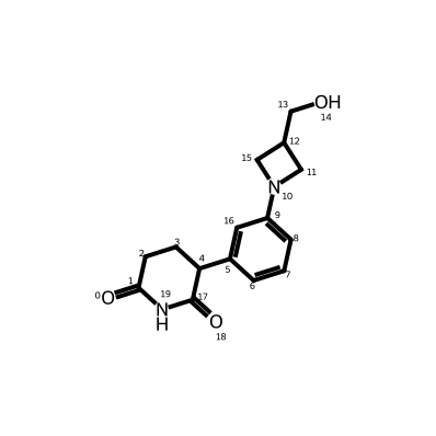 O=C1CCC(c2cccc(N3CC(CO)C3)c2)C(=O)N1